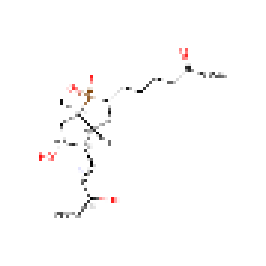 CCCCC[C@H](O)/C=C/[C@@H]1[C@H]2CC(CCCCC(=O)OC)S(=O)(=O)[C@@H]2C[C@H]1O